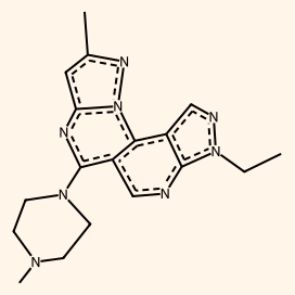 CCn1ncc2c1ncc1c(N3CCN(C)CC3)nc3cc(C)nn3c12